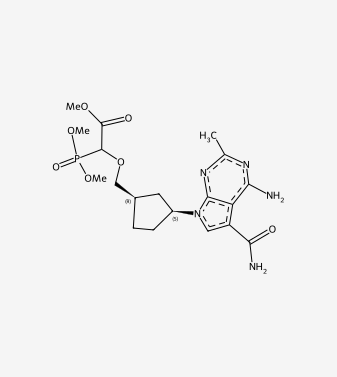 COC(=O)C(OC[C@@H]1CC[C@H](n2cc(C(N)=O)c3c(N)nc(C)nc32)C1)P(=O)(OC)OC